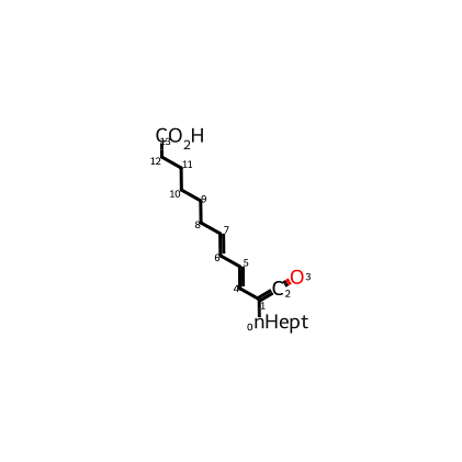 CCCCCCCC(=C=O)/C=C/C=C/CCCCCC(=O)O